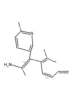 C=C/C=C\C(=C(C)C)/C(=C(\C)N)c1ccc(C)nc1